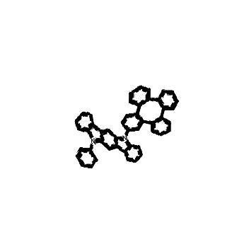 c1ccc(-n2c3ccccc3c3cc4c(cc32)c2ccccc2n4-c2ccc3c(c2)-c2ccccc2-c2ccccc2-c2ccccc2-3)cc1